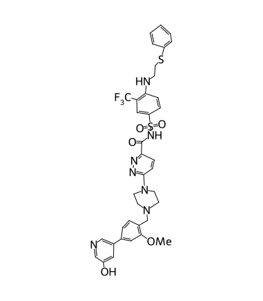 COc1cc(-c2cncc(O)c2)ccc1CN1CCN(c2ccc(C(=O)NS(=O)(=O)c3ccc(NCCSc4ccccc4)c(C(F)(F)F)c3)nn2)CC1